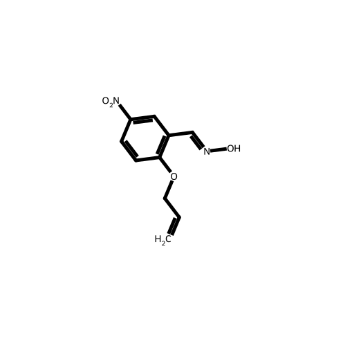 C=CCOc1ccc([N+](=O)[O-])cc1/C=N/O